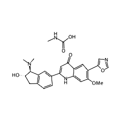 CNC(=O)O.COc1cc2[nH]c(-c3ccc4c(c3)[C@H](N(C)C)[C@@H](O)C4)cc(=O)c2cc1-c1cnco1